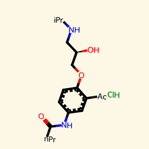 CCCC(=O)Nc1ccc(OC[C@H](O)CNC(C)C)c(C(C)=O)c1.Cl